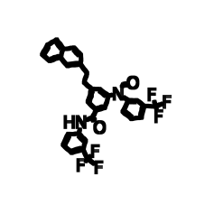 O=CN(c1cc(CCc2ccc3ccccc3c2)cc(C(=O)Nc2cccc(C(F)(F)F)c2)c1)c1cccc(C(F)(F)F)c1